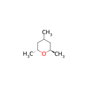 CC1C[C@@H](C)O[C@H](C)C1